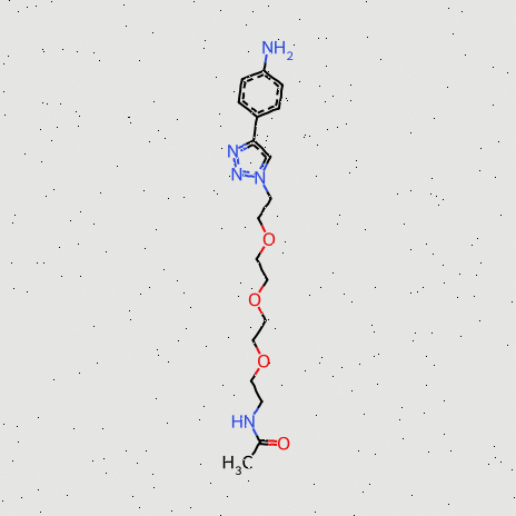 CC(=O)NCCOCCOCCOCCn1cc(-c2ccc(N)cc2)nn1